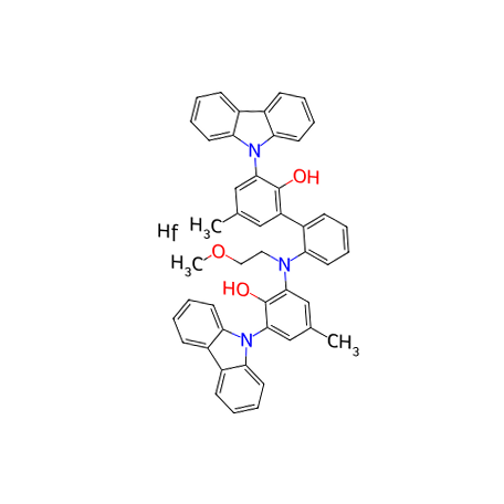 COCCN(c1ccccc1-c1cc(C)cc(-n2c3ccccc3c3ccccc32)c1O)c1cc(C)cc(-n2c3ccccc3c3ccccc32)c1O.[Hf]